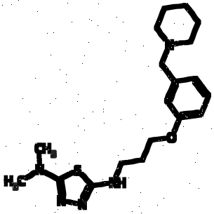 CN(C)c1nnc(NCCCOc2cccc(CN3CCCCC3)c2)s1